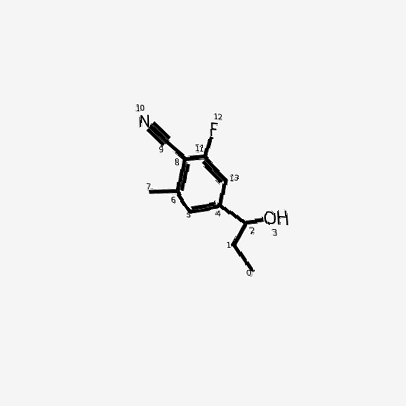 CCC(O)c1cc(C)c(C#N)c(F)c1